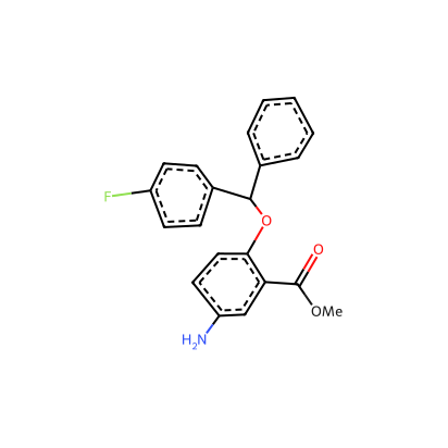 COC(=O)c1cc(N)ccc1OC(c1ccccc1)c1ccc(F)cc1